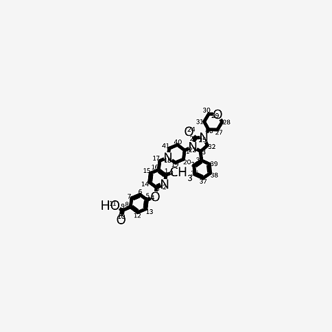 Cc1nc(Oc2ccc(C(=O)O)cc2)ccc1CN1CCC(N2C(=O)N(C3CCOCC3)CC2c2ccccc2)CC1